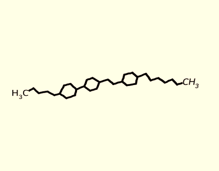 CCCCCCCC1CCC(CCC2CCC(C3CCC(CCCCC)CC3)CC2)CC1